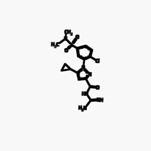 CN(C)S(=O)(=O)c1ccc(Cl)c(-n2nc(C(=O)NC(=N)N)cc2C2CC2)c1